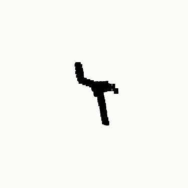 CCCCCCCCC=CCCCCCCCC(=O)OCC(CC(C)C(C)(C)N)OC(=O)CCCCCCC/C=C\CCCCCCCC.Cl